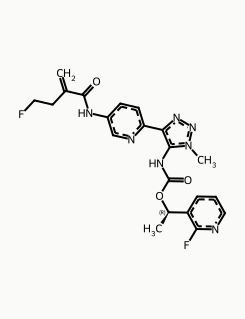 C=C(CCF)C(=O)Nc1ccc(-c2nnn(C)c2NC(=O)O[C@H](C)c2cccnc2F)nc1